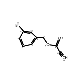 C#CC(=O)OCc1cccc(Br)c1